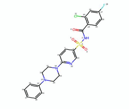 O=C(NS(=O)(=O)c1ccc(N2CCN(c3ccccc3)CC2)nc1)c1ccc(F)cc1Cl